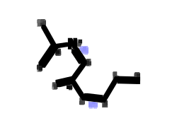 C=C/C=C\C(=C)/C=N\C(=C)C